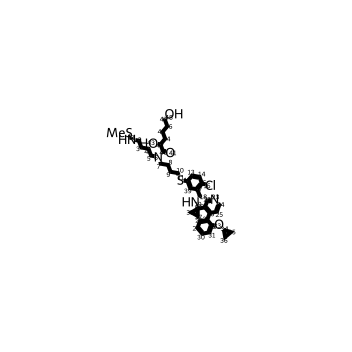 CSNCCCCN(CCCCSc1ccc(Cl)c(CNC2(c3cnccc3-c3ccccc3OC3CC3)CC2)c1)C(=O)C(O)CCCCO